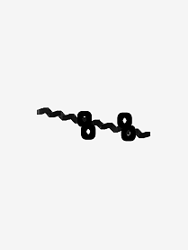 CCCCCCCOC(=O)CCCCC(=O)OCCC